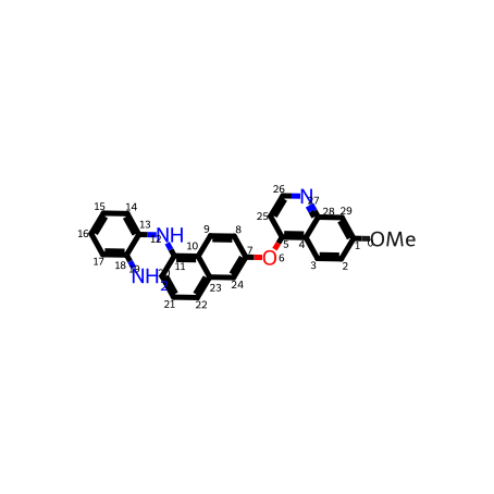 COc1ccc2c(Oc3ccc4c(Nc5ccccc5N)cccc4c3)ccnc2c1